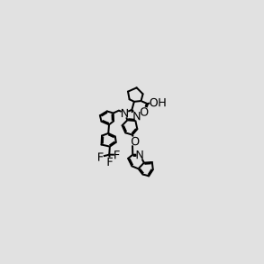 O=C(O)C1CCCCC1c1nc2cc(OCc3ccc4ccccc4n3)ccc2n1Cc1cccc(-c2ccc(C(F)(F)F)cc2)c1